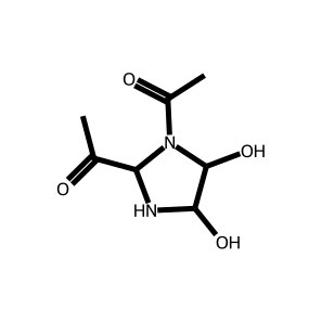 CC(=O)C1NC(O)C(O)N1C(C)=O